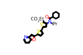 CCOC(=O)c1sc(-c2ccc(-c3cc4ncccc4o3)s2)cc1N(C(=O)C1CCCCC1)C(C)C